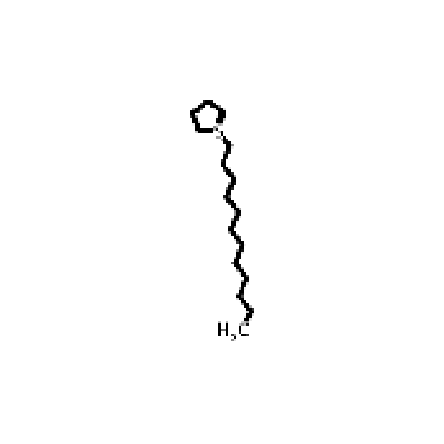 CCCCCCCCCCCCS1=CCCC1